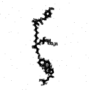 CCC(CCC(C)[C@H]1CC[C@H]2[C@@H]3CC=C4C[C@@H](SSCCC(=O)N(CCCCCCCC(C)(C)NC(=O)OCc5ccc(OC)cc5)CCC(C)(C)NC(=O)O)CC[C@]4(C)[C@H]3CC[C@]12C)C(C)C